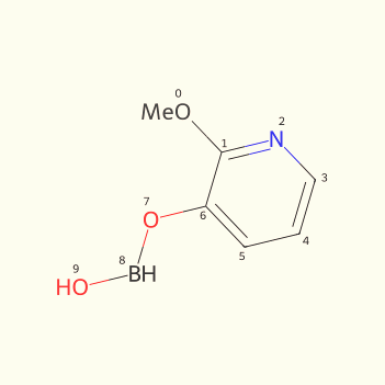 COc1ncccc1OBO